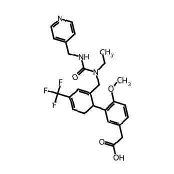 CCN(CC1=CC(C(F)(F)F)=CCC1c1cc(CC(=O)O)ccc1OC)C(=O)NCc1ccncc1